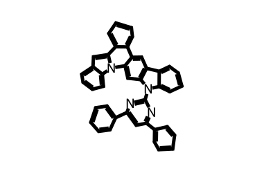 c1ccc(-c2cc(-c3ccccc3)nc(-n3c4ccccc4c4cc5c6ccccc6c6cc7ccccc7n6c5cc43)n2)cc1